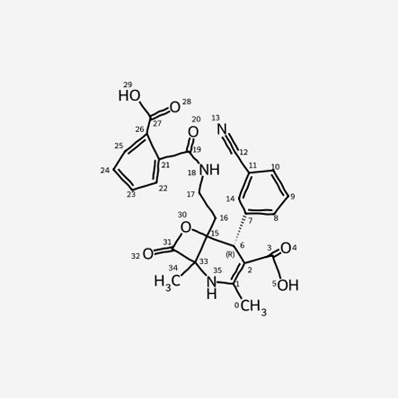 CC1=C(C(=O)O)[C@@H](c2cccc(C#N)c2)C2(CCNC(=O)c3ccccc3C(=O)O)OC(=O)C2(C)N1